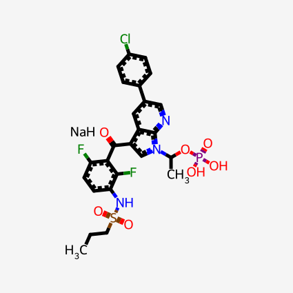 CCCS(=O)(=O)Nc1ccc(F)c(C(=O)c2cn(C(C)OP(=O)(O)O)c3ncc(-c4ccc(Cl)cc4)cc23)c1F.[NaH]